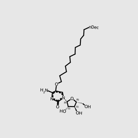 CCCCCCCCCCCCCCCCCCCCCCOc1cn([C@@H]2O[C@H](CO)[C@@H](O)[C@@H]2O)c(=O)nc1N